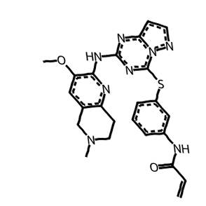 C=CC(=O)Nc1cccc(Sc2nc(Nc3nc4c(cc3OC)CN(C)CC4)nc3ccnn23)c1